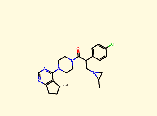 CC1CN1CC(C(=O)N1CCN(c2ncnc3c2[C@H](C)CC3)CC1)c1ccc(Cl)cc1